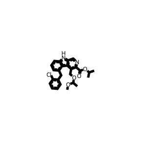 COC(C)OCc1c(C(=O)OC(C)C)ncc2[nH]c3cccc(Cc4ccccc4Cl)c3c12